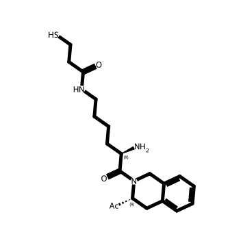 CC(=O)[C@H]1Cc2ccccc2CN1C(=O)[C@H](N)CCCCNC(=O)CCS